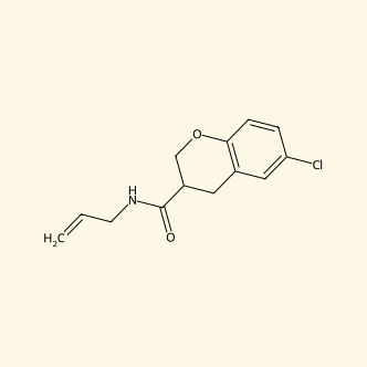 C=CCNC(=O)C1COc2ccc(Cl)cc2C1